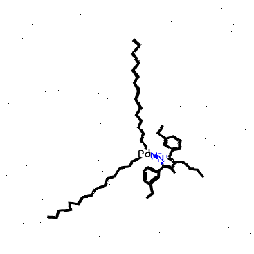 CCCCC1=C(c2cccc(CC)c2)[N+](=[N-])C(c2cccc(CC)c2)=C1C.CCCCCCCCCCCCCCC[CH2][Pd][CH2]CCCCCCCCCCCCCCC